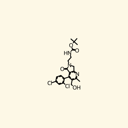 Cc1nc2c(c(-c3ccc(Cl)cc3Cl)c1CO)C(=O)N(CCNC(=O)OC(C)(C)C)C2